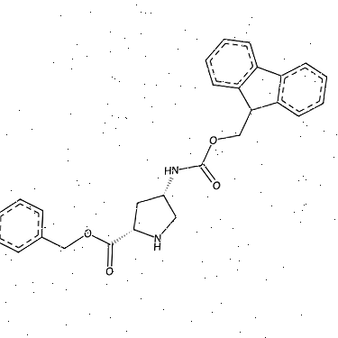 O=C(N[C@@H]1CN[C@H](C(=O)OCc2ccccc2)C1)OCC1c2ccccc2-c2ccccc21